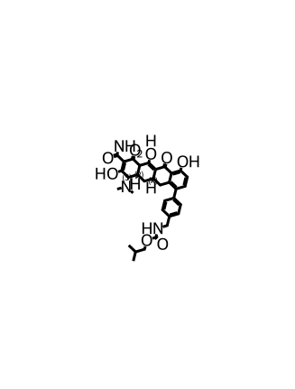 CC(C)COC(=O)NCc1ccc(-c2ccc(O)c3c2C[C@H]2C[C@@H]4C(C(=O)C(C(N)=O)=C(O)[C@H]4N(C)C)C(O)=C2C3=O)cc1